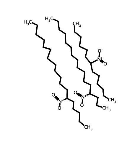 CCCCCCC(CCCCCC)[N+](=O)[O-].CCCCCCCCCCCCC(CCC)[N+](=O)[O-].CCCCCCCCCCCCC(CCCCC)[N+](=O)[O-]